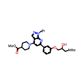 CNCC(O)COc1cccc(-c2cc(N3CCC(C(=O)OC)CC3)c3cnn(C(C)C)c3n2)c1